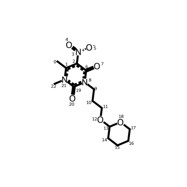 Cc1c([N+](=O)[O-])c(=O)n(CCCOC2CCCCO2)c(=O)n1C